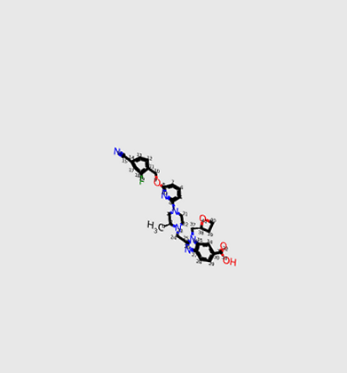 C[C@H]1CN(c2cccc(OCc3ccc(C#N)cc3F)n2)CCN1Cc1nc2ccc(C(=O)O)cc2n1C[C@@H]1CCO1